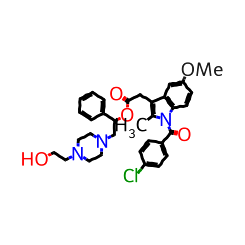 COc1ccc2c(c1)c(CC(=O)OC(CN1CCN(CCO)CC1)c1ccccc1)c(C)n2C(=O)c1ccc(Cl)cc1